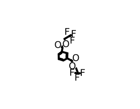 O=C(OCC(F)(F)F)c1cccc(C(=O)OCC(F)(F)F)c1